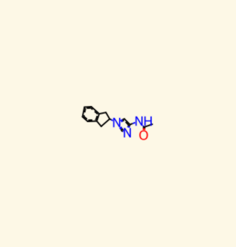 CC(=O)Nc1cn(C2Cc3ccccc3C2)cn1